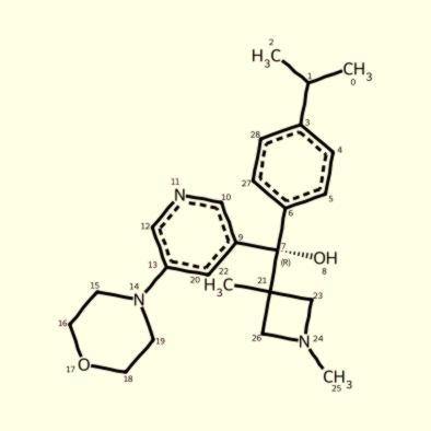 CC(C)c1ccc([C@](O)(c2cncc(N3CCOCC3)c2)C2(C)CN(C)C2)cc1